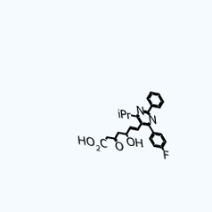 CC(C)c1nc(-c2ccccc2)nc(-c2ccc(F)cc2)c1/C=C/C(O)CC(=O)CC(=O)O